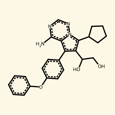 Nc1ncnn2c(C3CCCC3)c(C(O)CO)c(-c3ccc(Oc4ccccc4)cc3)c12